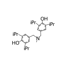 CC(C)c1cc(CN(C)Cc2cc(C(C)C)c(O)c(C(C)C)c2)cc(C(C)C)c1O